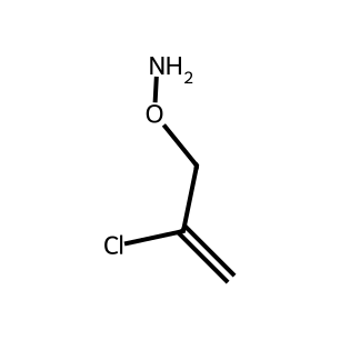 C=C(Cl)CON